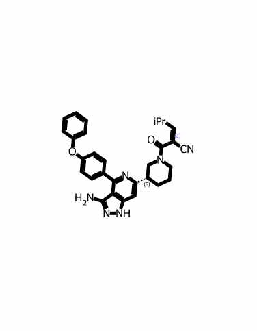 CC(C)/C=C(/C#N)C(=O)N1CCC[C@H](c2cc3[nH]nc(N)c3c(-c3ccc(Oc4ccccc4)cc3)n2)C1